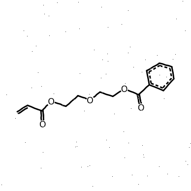 C=CC(=O)OCCOCCOC(=O)c1ccccc1